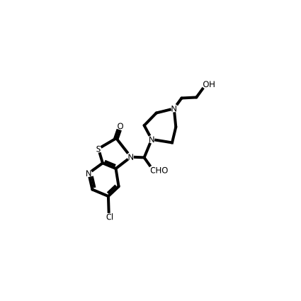 O=CC(N1CCN(CCO)CC1)n1c(=O)sc2ncc(Cl)cc21